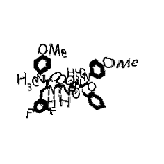 COc1ccc(N(C)C(=O)C(Cc2cc(F)cc(F)c2)NC(=O)NS(=O)(=O)N[C@@H](Cc2ccccc2)C(=O)N(C)c2ccc(OC)cc2)cc1